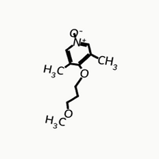 COCCCOc1c(C)c[n+]([O-])cc1C